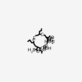 BC1OC(CC)C2OP(=O)(O)OCC3OC(C)C(CCC(CCC)CCCCC(CCC)CCC12)C3OP(=O)(O)OC